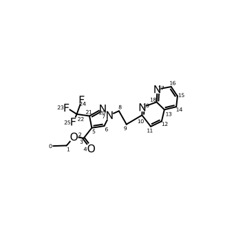 CCOC(=O)c1cn(CCc2ccc3cccnc3n2)nc1C(F)(F)F